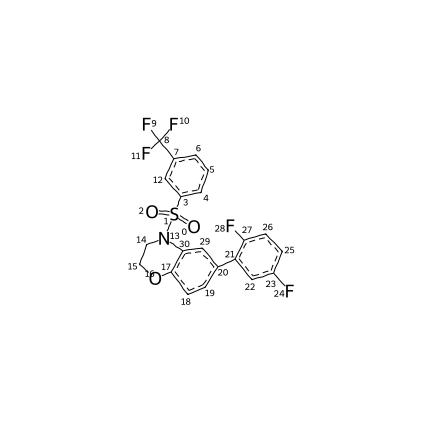 O=S(=O)(c1cccc(C(F)(F)F)c1)N1CCOc2ccc(-c3cc(F)ccc3F)cc21